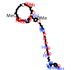 COC1C[C@@H]2CC[C@@H](C)[C@@](O)(O2)C(=O)C(=O)N2CCCC[C@H]2C(=O)OC([C@H](N)CC2CCC(OCCCCc3cn(CCOCCOCCOCCNC(=O)CCC(=O)C(=O)NCCCCn4nc(-c5ccc6oc(N)nc6c5)c5c(N)ncnc54)nn3)[C@H](OC)C2)CC(=O)C(C)/C=C(\C)[C@@H](O)[C@@H](O)C(=O)C(C)CC(C)/C=C/C=C/C=C/1C